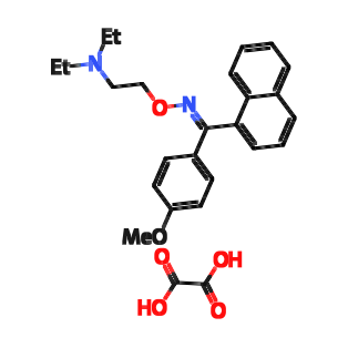 CCN(CC)CCON=C(c1ccc(OC)cc1)c1cccc2ccccc12.O=C(O)C(=O)O